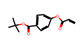 C=CC(=O)Oc1ccc(C(=O)OC(C)(C)C)cc1